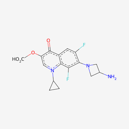 NC1CN(c2c(F)cc3c(=O)c(OC(=O)O)cn(C4CC4)c3c2F)C1